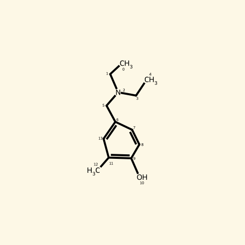 CCN(CC)Cc1ccc(O)c(C)c1